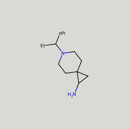 CCCC(CC)N1CCC2(CC1)CC2N